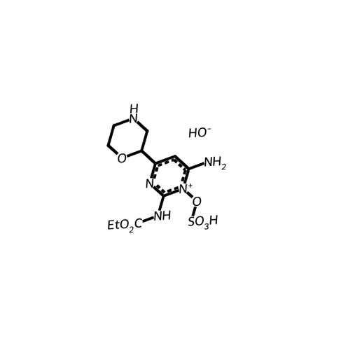 CCOC(=O)Nc1nc(C2CNCCO2)cc(N)[n+]1OS(=O)(=O)O.[OH-]